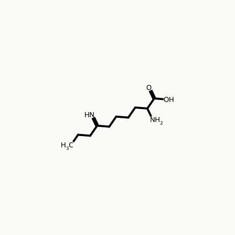 CCCC(=N)CCCCC(N)C(=O)O